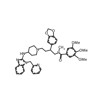 COc1cc(C(=O)N(C)CC(CCN2CCC(Nc3nc4ccccc4n3Cc3ccccn3)CC2)c2ccc3c(c2)OCO3)cc(OC)c1OC